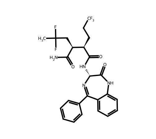 CC(F)(F)C[C@H](C(N)=O)[C@@H](CCC(F)(F)F)C(=O)N[C@H]1N=C(c2ccccc2)c2ccccc2NC1=O